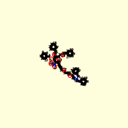 O=[N+]([O-])[C@@H]1[C@@H](OCc2ccccc2)[C@@H](OCc2ccccc2)[C@@H](COCc2ccccc2)O[C@H]1C#CCOCCOCCN(Cc1ccccc1)Cc1ccccc1